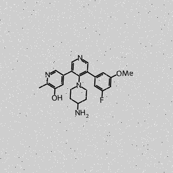 COc1cc(F)cc(-c2cncc(-c3cnc(C)c(O)c3)c2N2CCC(N)CC2)c1